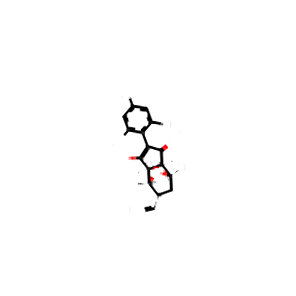 C=C[C@@H]1C[C@@H]2O[C@H]1[C@H]1C(O)=C(c3c(C)cc(C)cc3C)C(=O)[C@H]12